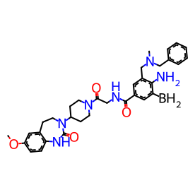 Bc1cc(C(=O)NCC(=O)N2CCC(N3CCc4cc(OC)ccc4NC3=O)CC2)cc(CN(C)Cc2ccccc2)c1N